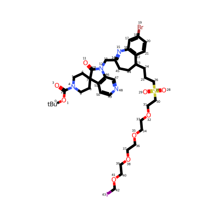 CC(C)(C)OC(=O)N1CCC2(CC1)C(=O)N(CC1=Nc3cc(Br)ccc3C(CCCS(=O)(=O)CCOCCOCCOCCOCI)CC1)c1cnccc12